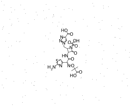 CC(C)(O/N=C(\C(=O)NC1C(=O)N(S(=O)(=O)O)C1Cn1cc(C(=O)O)nn1)c1csc(N)n1)C(=O)O